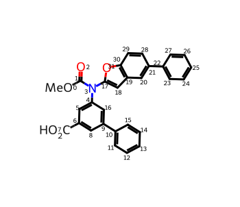 COC(=O)N(c1cc(C(=O)O)cc(-c2ccccc2)c1)c1cc2cc(-c3ccccc3)ccc2o1